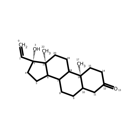 C=C[C@]1(O)CCC2C3CCC4CC(=O)CC[C@]4(C)C3CC[C@@]21C